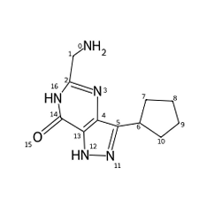 NCc1nc2c(C3CCCC3)n[nH]c2c(=O)[nH]1